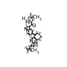 CC(C)(F)CNC(=O)c1cnn2ccc(C3=CCCCc4nc(NCC5(C)CC5)ncc43)cc12